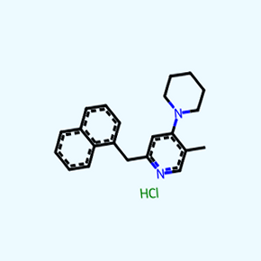 Cc1cnc(Cc2cccc3ccccc23)cc1N1CCCCC1.Cl